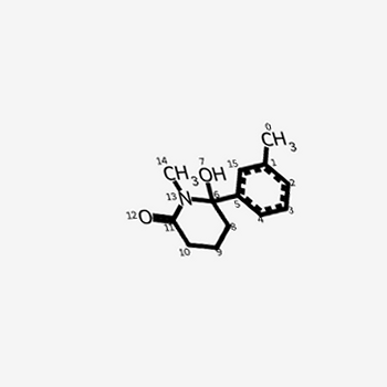 Cc1cccc(C2(O)CCCC(=O)N2C)c1